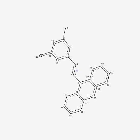 Cc1cc(/C=C/c2c3ccccc3cc3ccccc23)oc(=O)c1